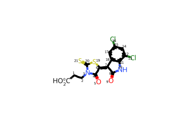 O=C(O)CCN1C(=O)C(=C2C(=O)Nc3c(Cl)cc(Cl)cc32)SC1=S